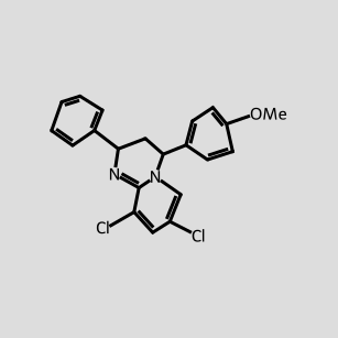 COc1ccc(C2CC(c3ccccc3)N=C3C(Cl)=CC(Cl)=CN32)cc1